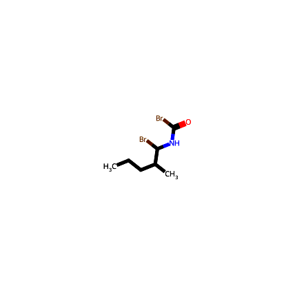 CCCC(C)C(Br)NC(=O)Br